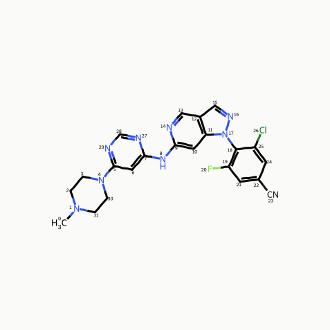 CN1CCN(c2cc(Nc3cc4c(cn3)cnn4-c3c(F)cc(C#N)cc3Cl)ncn2)CC1